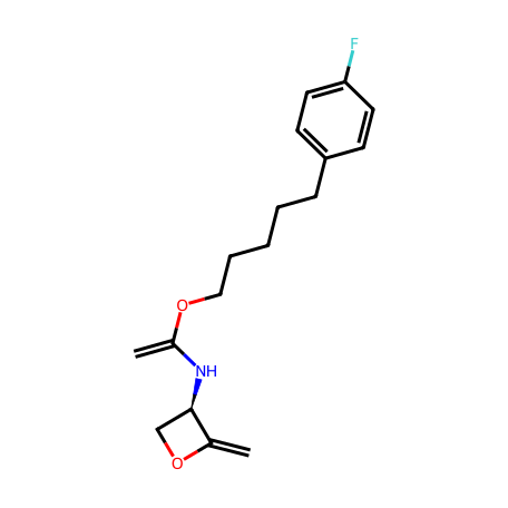 C=C(N[C@@H]1COC1=C)OCCCCCc1ccc(F)cc1